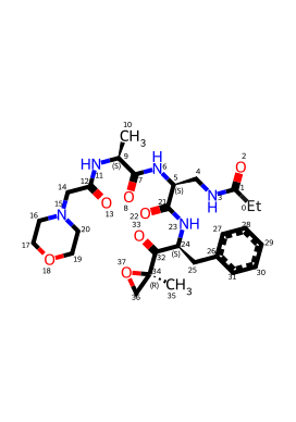 CCC(=O)NC[C@H](NC(=O)[C@H](C)NC(=O)CN1CCOCC1)C(=O)N[C@@H](Cc1ccccc1)C(=O)[C@@]1(C)CO1